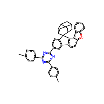 Cc1ccc(-c2nc(-c3ccc(C)cc3)nc(-c3ccc4c(c3)-c3ccc5oc6ccccc6c5c3C43C4CC5CC(C4)CC3C5)n2)cc1